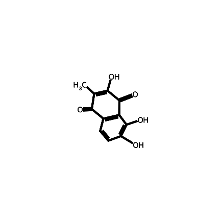 CC1=C(O)C(=O)c2c(ccc(O)c2O)C1=O